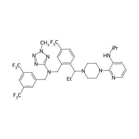 CCC(c1ccc(C(F)(F)F)cc1CN(Cc1cc(C(F)(F)F)cc(C(F)(F)F)c1)c1nnn(C)n1)N1CCN(c2ncccc2NC(C)C)CC1